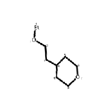 CCOCCC1CCOCC1